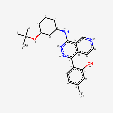 CC(C)(C)[Si](C)(C)O[C@H]1CCC[C@@H](Nc2nnc(-c3ccc(C(F)(F)F)cc3O)c3ccncc23)C1